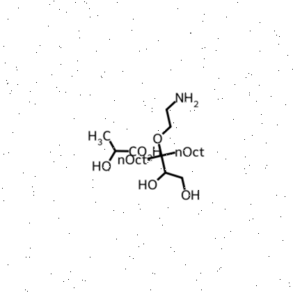 CC(O)C(=O)O.CCCCCCCCC(CCCCCCCC)(OCCN)C(O)CO